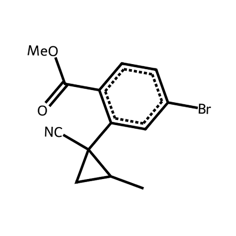 COC(=O)c1ccc(Br)cc1C1(C#N)CC1C